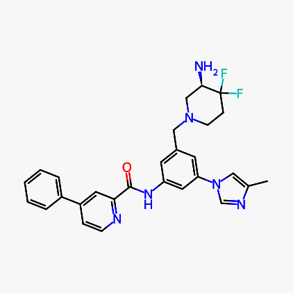 Cc1cn(-c2cc(CN3CCC(F)(F)[C@H](N)C3)cc(NC(=O)c3cc(-c4ccccc4)ccn3)c2)cn1